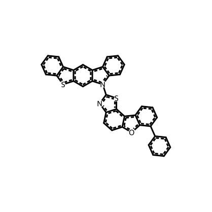 c1ccc(-c2cccc3c2oc2ccc4nc(-n5c6ccccc6c6cc7c(cc65)sc5ccccc57)sc4c23)cc1